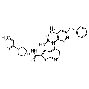 C=CC(=O)N1CC[C@@H](NC(=O)c2sc3nccc4c3c2NC(=O)N4c2nnc(Oc3ccccc3)cc2C)C1